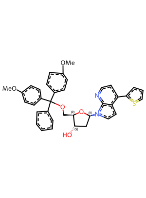 COc1ccc(C(OC[C@H]2O[C@@H](n3ccc4c(-c5cccs5)ccnc43)C[C@@H]2O)(c2ccccc2)c2ccc(OC)cc2)cc1